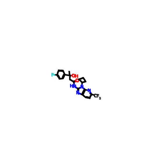 CC(O)(CC(=O)Nc1nc2ccc(C(F)(F)F)nc2n1C1CCC1)c1ccc(F)cc1